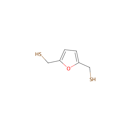 SCc1ccc(CS)o1